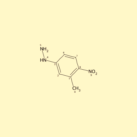 Cc1cc(NN)ccc1[N+](=O)[O-]